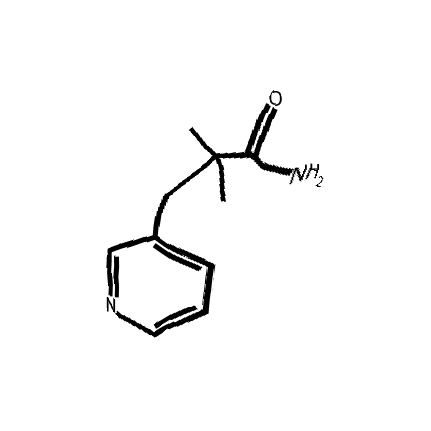 CC(C)(Cc1cccnc1)C(N)=O